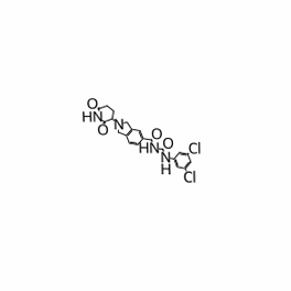 O=C1CCC(N2Cc3ccc(C(=O)NC(=O)Nc4cc(Cl)cc(Cl)c4)cc3C2)C(=O)N1